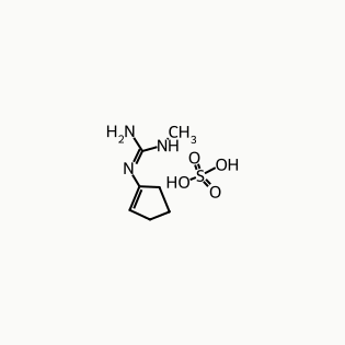 CNC(N)=NC1=CCCC1.O=S(=O)(O)O